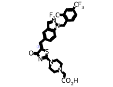 O=C(O)CN1CCN(C2=NC(=O)/C(=C/c3ccc4c(cnn4Cc4ccc(C(F)(F)F)cc4C(F)(F)F)c3)S2)CC1